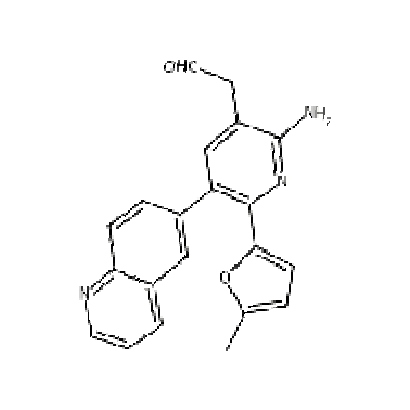 Cc1ccc(-c2nc(N)c(CC=O)cc2-c2ccc3ncccc3c2)o1